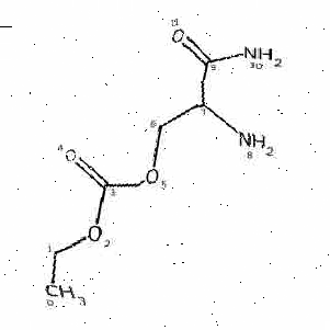 CCOC(=O)OCC(N)C(N)=O